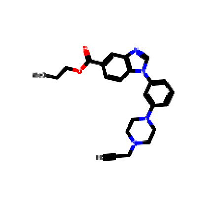 C#CCN1CCN(c2cccc(-n3cnc4cc(C(=O)OCCOC)ccc43)c2)CC1